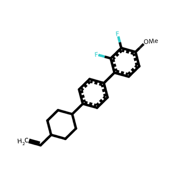 C=CC1CCC(c2ccc(-c3ccc(OC)c(F)c3F)cc2)CC1